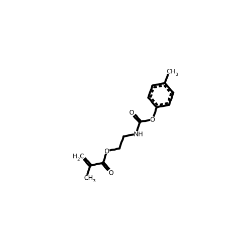 C=C(C)C(=O)OCCNC(=O)Oc1ccc(C)cc1